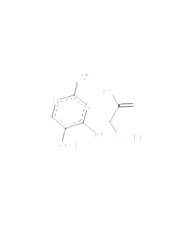 CCOC(=O)CC(=O)CC.CCOC(=O)c1cnc(SC)nc1CC